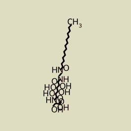 CCCCCCCCCCCCCCCC(=O)NCCNC(=O)C(O)C(O)C(O)C(O)C(=O)NC(CO)C(=O)O